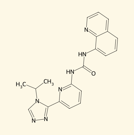 CC(C)n1cnnc1-c1cccc(NC(=O)Nc2cccc3cccnc23)n1